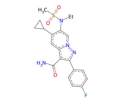 CCN(c1cn2nc(-c3ccc(F)cc3)c(C(N)=O)c2cc1C1CC1)S(C)(=O)=O